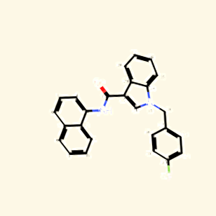 O=C(Nc1cccc2ccccc12)c1cn(Cc2ccc(F)cc2)c2ccccc12